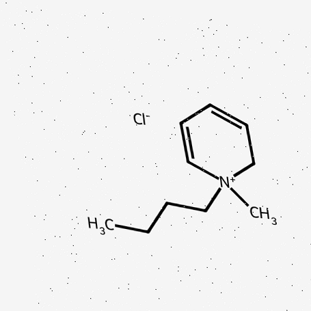 CCCC[N+]1(C)C=CC=CC1.[Cl-]